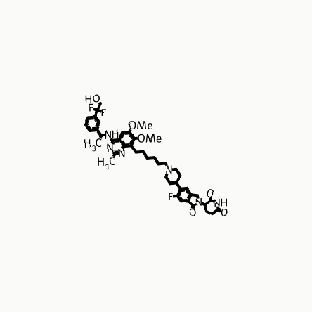 COc1cc2c(NC(C)c3cccc(C(F)(F)CO)c3)nc(C)nc2c(CCCCCCN2CCC(c3cc4c(cc3F)C(=O)N(C3CCC(=O)NC3=O)C4)CC2)c1OC